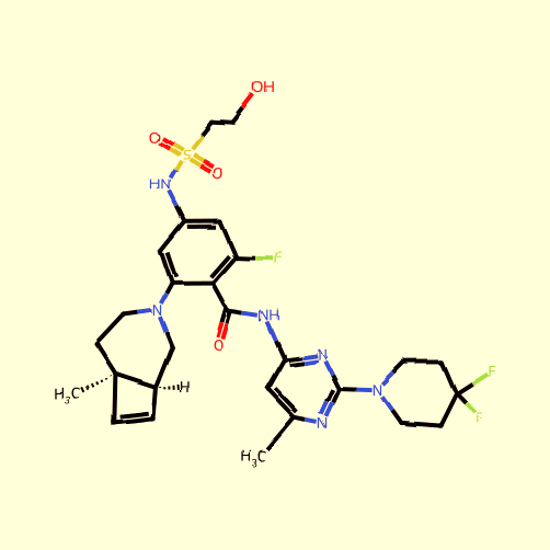 Cc1cc(NC(=O)c2c(F)cc(NS(=O)(=O)CCO)cc2N2CC[C@]3(C)C=C[C@@H]3C2)nc(N2CCC(F)(F)CC2)n1